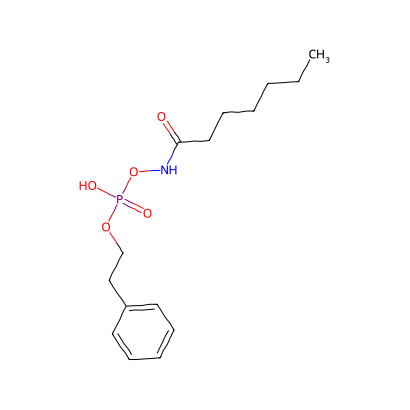 CCCCCCC(=O)NOP(=O)(O)OCCc1ccccc1